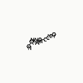 C=C/C(=C\C(=C/C)c1ccc(NC)c(C(=C)C(=C)Nc2nccc(-c3cccnc3)c2C)n1)CNCc1ccccc1